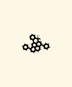 CC1(F)c2ccccc2-c2cc3c(-c4ccccc4)ccc4ccc5c(-c6ccccc6)cc1c2c5c43